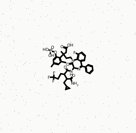 Cc1cc(C)c(C(C)(CCN2C(=O)C(NC(=O)C(CCC(F)(F)F)C(CC3CC3)C(N)=O)N=C(c3ccccc3)c3cccc(F)c32)CC(=O)O)c(OP(=O)(O)O)c1